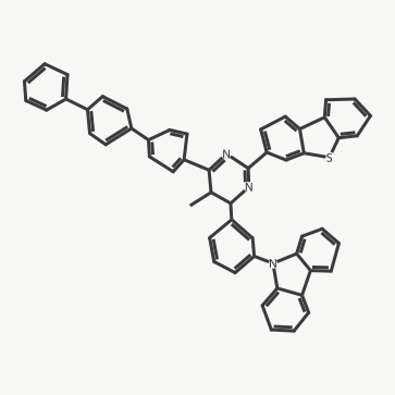 CC1C(c2ccc(-c3ccc(-c4ccccc4)cc3)cc2)=NC(c2ccc3c(c2)sc2ccccc23)=NC1c1cccc(-n2c3ccccc3c3ccccc32)c1